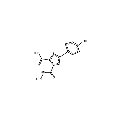 NNC(=O)c1cc(-c2ccc(O)cc2)sc1C(N)=O